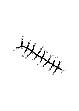 CCC(F)(F)C(F)(F)C(F)(F)C(F)(F)C(F)(F)C(F)(F)C(F)(F)[C](F)F